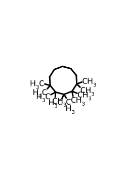 CC1(C)CCCCCC(C)(C)C(C)(C)C(C)(C)C1(C)C